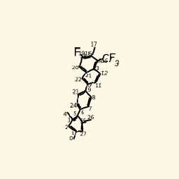 Cc1cc(C)c(-c2ccc(-c3ccc4c(C(F)(F)F)c(C)c(F)cc4c3)cc2)c(C)c1